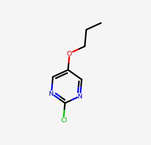 CCCOc1cnc(Cl)nc1